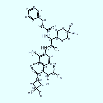 Nc1c(NC(=O)[C@@H](NC(=O)OCc2ccccc2)C2CCC(F)(F)CC2)ccc(C(C(=O)N2CC(F)(F)C2)C(F)C(F)F)c1F